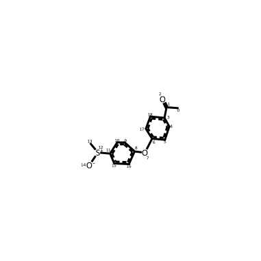 CC(=O)c1ccc(Oc2ccc([S+](C)[O-])cc2)cc1